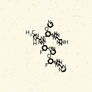 Cc1c[nH]c(-c2nnn(-c3cc(F)cc(C#N)c3)n2)n1.Fc1cc(Oc2cccnc2)cc(-n2nnc(-c3c[nH]nn3)n2)c1.Fc1cc(Oc2cccnc2)cc(-n2nnc(-c3ncccn3)n2)c1